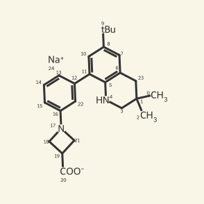 CC1(C)CNc2c(cc(C(C)(C)C)cc2-c2cccc(N3CC(C(=O)[O-])C3)c2)C1.[Na+]